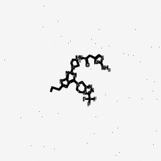 CCCc1cc2c(N3CCn4c(nnc4C(F)(F)F)C3)nc(N3CC[C@H](NC(=O)Cc4csc(N)n4)C3)nc2s1